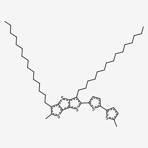 CCCCCCCCCCCCCCCc1c(C)sc2c1sc1c(CCCCCCCCCCCCCCC)c(-c3ccc(-c4ccc(C)s4)s3)sc12